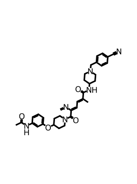 C=N/C(=C\C=C(/C)C(=O)NC1CCN(Cc2ccc(C#N)cc2)CC1)C(=O)N1CCC(Oc2cccc(NC(C)=O)c2)CC1